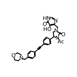 CC(=O)N1C(=O)N(Cc2nc[nH]c(=O)c2O)CC1c1ccc(C#Cc2ccc(CN3CCOCC3)cc2)cc1